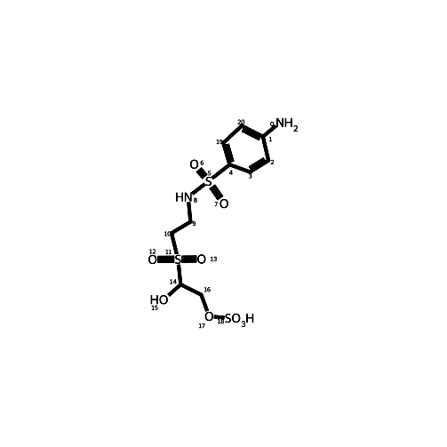 Nc1ccc(S(=O)(=O)NCCS(=O)(=O)C(O)COS(=O)(=O)O)cc1